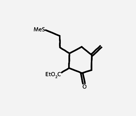 C=C1CC(=O)C(C(=O)OCC)C(CCSC)C1